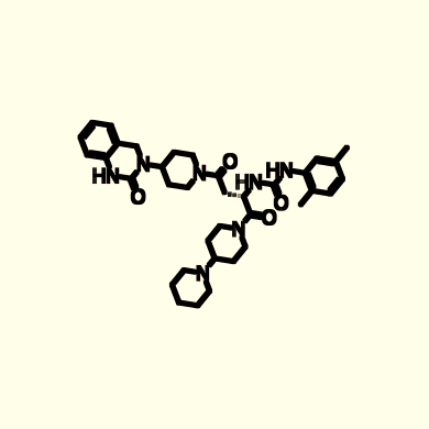 Cc1ccc(C)c(NC(=O)N[C@@H](CC(=O)N2CCC(N3Cc4ccccc4NC3=O)CC2)C(=O)N2CCC(N3CCCCC3)CC2)c1